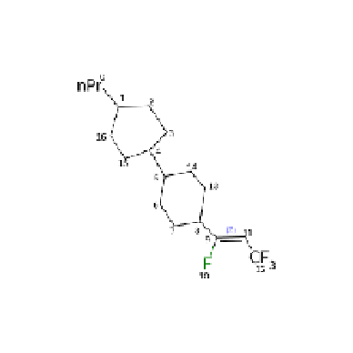 CCCC1CCC(C2CCC(/C(F)=C/C(F)(F)F)CC2)CC1